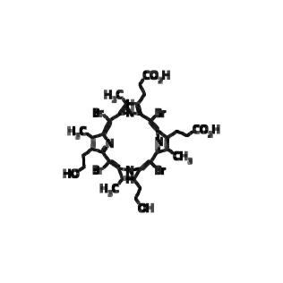 CC1=C(CCO)c2nc1c(Br)c1[nH]c(c(Br)c3nc(c(Br)c4[nH]c(c(C)c4CCO)c2Br)C(C)=C3CCC(=O)O)c(CCC(=O)O)c1C